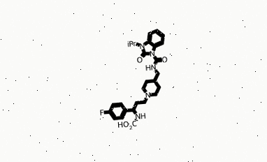 CC(C)n1c(=O)n(C(=O)NCC2CCN(CCC(NC(=O)O)c3ccc(F)cc3)CC2)c2ccccc21